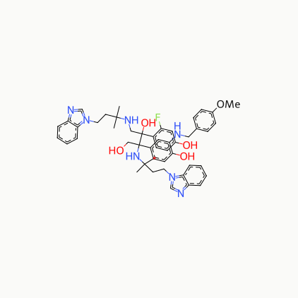 COc1ccc(CNc2cc(C(CO)(NC(C)(C)CCn3cnc4ccccc43)C(O)(CNC(C)(C)CCn3cnc4ccccc43)c3ccc(O)cc3F)ccc2O)cc1